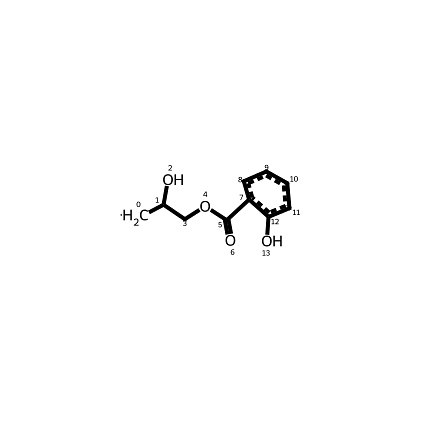 [CH2]C(O)COC(=O)c1ccccc1O